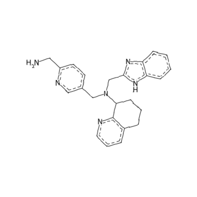 NCc1ccc(CN(Cc2nc3ccccc3[nH]2)C2CCCc3cccnc32)cn1